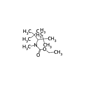 CCOC(=O)N(C)C(C(C)(C)C)C(C)(C)C